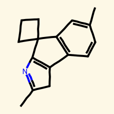 CC1=NC2=C(C1)c1ccc(C)cc1C21CCC1